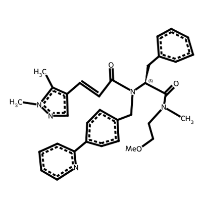 COCCN(C)C(=O)[C@H](Cc1ccccc1)N(Cc1ccc(-c2ccccn2)cc1)C(=O)C=Cc1cnn(C)c1C